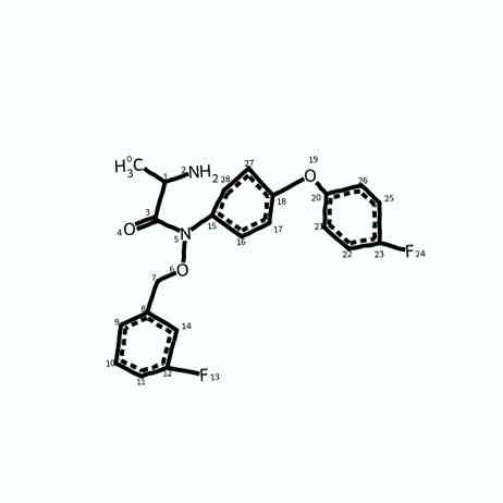 CC(N)C(=O)N(OCc1cccc(F)c1)c1ccc(Oc2ccc(F)cc2)cc1